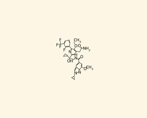 CCOc1c(CC(N)=O)cc([C@@](O)(CNC(=O)c2cc(OC)c3nn(C4CC4)cc3c2)C2CC2)nc1-c1cccc(C(F)(F)F)c1F